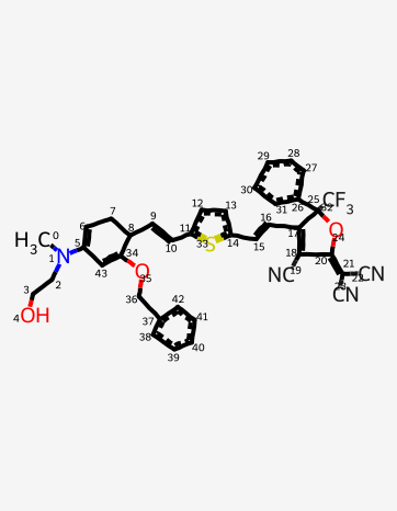 CN(CCO)C1=CCC(/C=C/c2ccc(/C=C/C3=C(C#N)C(=C(C#N)C#N)OC3(c3ccccc3)C(F)(F)F)s2)C(OCc2ccccc2)=C1